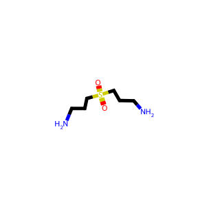 NCCCS(=O)(=O)CCCN